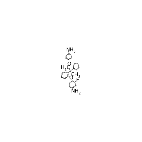 CC(C)(c1ccccc1Oc1ccc(N)cc1)c1ccccc1Oc1ccc(N)cc1F